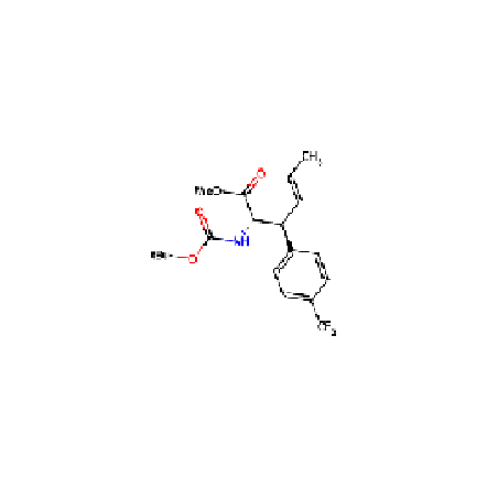 C/C=C/[C@@H](c1ccc(C(F)(F)F)cc1)[C@H](NC(=O)OC(C)(C)C)C(=O)OC